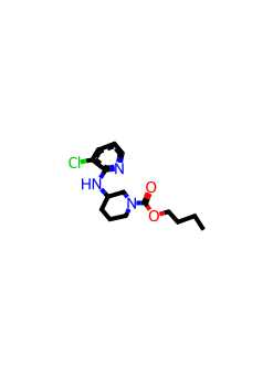 CCCCOC(=O)N1CCCC(Nc2ncccc2Cl)C1